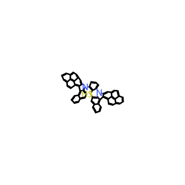 c1cc2c3c(c1)-n1c4cc5ccc6cccc7ccc(c5c67)c4c4c5ccccc5cc(c41)[SH]3c1cc3ccccc3c3c4c5ccc6cccc7ccc(cc4n-2c13)c5c76